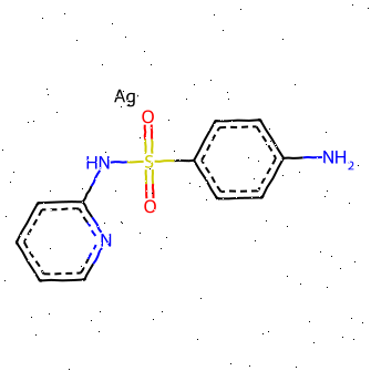 Nc1ccc(S(=O)(=O)Nc2ccccn2)cc1.[Ag]